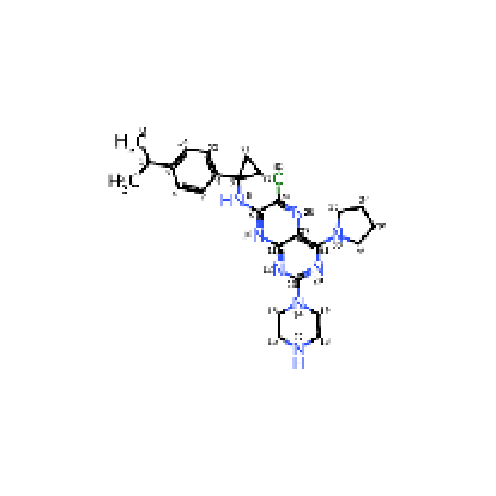 CC(C)c1ccc(C2(Nc3nc4nc(N5CCNCC5)nc(N5CCCC5)c4nc3Cl)CC2)cc1